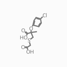 CC(CSCC(=O)O)(Oc1ccc(Cl)cc1)C(=O)O